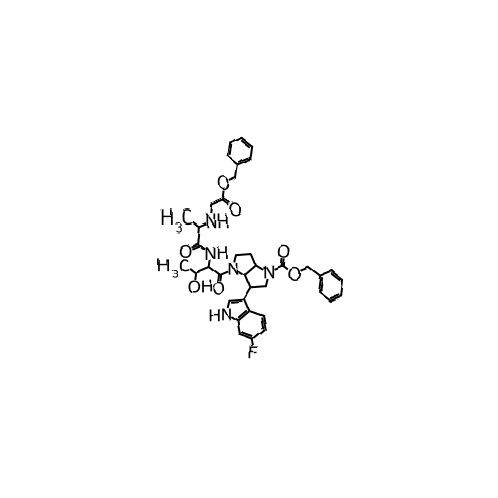 CC(NCC(=O)OCc1ccccc1)C(=O)NC(C(=O)N1CCC2C1C(c1c[nH]c3cc(F)ccc13)CN2C(=O)OCc1ccccc1)C(C)O